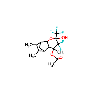 CC(=O)OC1(C)C2C3CC(C(C)C3C)C2OC(O)(C(F)(F)F)C1(F)F